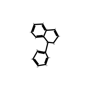 C1=Cc2ccccc2C(c2ccccc2)C1